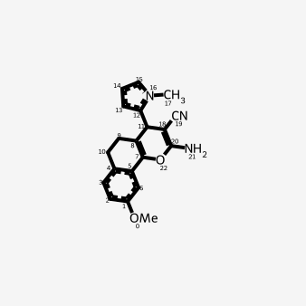 COc1ccc2c(c1)C1=C(CC2)C(c2cccn2C)C(C#N)=C(N)O1